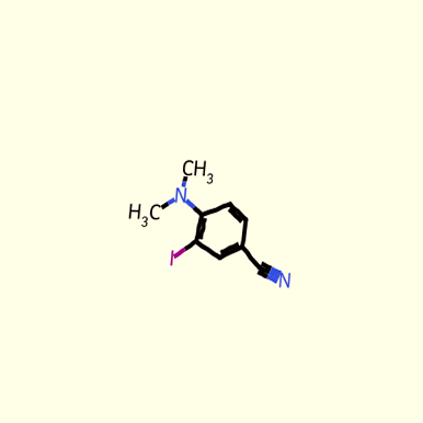 CN(C)c1ccc(C#N)cc1I